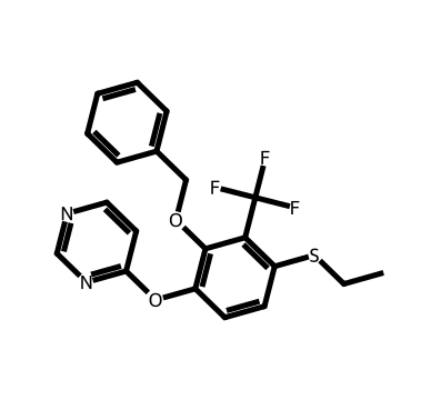 CCSc1ccc(Oc2ccncn2)c(OCc2ccccc2)c1C(F)(F)F